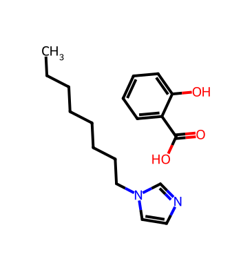 CCCCCCCCn1ccnc1.O=C(O)c1ccccc1O